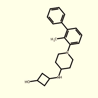 Cc1c(-c2ccccc2)cccc1N1CCC(NC2CC(O)C2)CC1